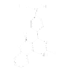 CN(C)c1ccc(C2NC(S)Nc3c2c(=O)oc2ccccc32)cc1